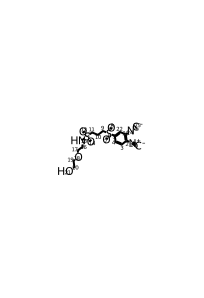 [C-]#[N+]c1ccc(S(=O)(=O)CCCS(=O)(=O)NCCOCCO)cc1[N+]#[C-]